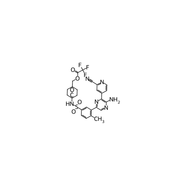 Cc1ccc(S(=O)(=O)NC23CCC(COC(=O)C(F)(F)F)(CC2)OC3)cc1-c1cnc(N)c(-c2ccnc(C#N)c2)n1